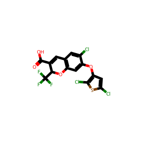 O=C(O)C1=Cc2cc(Cl)c(Oc3cc(Cl)sc3Cl)cc2OC1C(F)(F)F